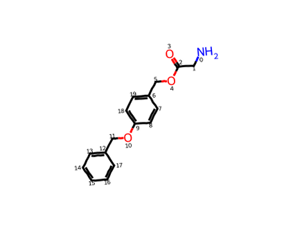 NCC(=O)OCc1ccc(OCc2ccccc2)cc1